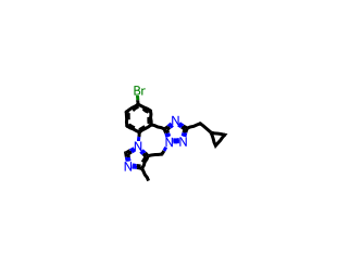 Cc1ncn2c1Cn1nc(CC3CC3)nc1-c1cc(Br)ccc1-2